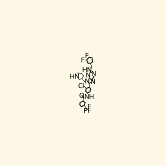 O=C(Nc1ccc(-c2nc3cnc(NCc4ccc(F)c(F)c4)nc3n2C[C@@H]2CCCNC2)c(Cl)c1)c1cccc(C(F)(F)F)c1